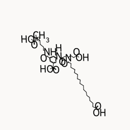 C[C@@H](CCCCNC(=O)c1cc(NC(=O)CN(CCC(=O)O)C(=O)CCCCCCCCCCCCCCCCC(=O)O)cc(C(=O)O)c1)C(=O)O